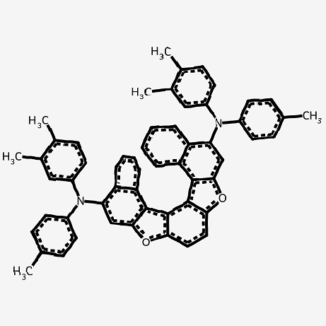 Cc1ccc(N(c2ccc(C)c(C)c2)c2cc3oc4ccc5oc6cc(N(c7ccc(C)cc7)c7ccc(C)c(C)c7)c7ccccc7c6c5c4c3c3ccccc23)cc1